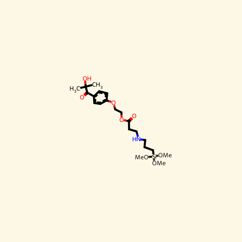 CO[Si](CCCNCCC(=O)OCCOc1ccc(C(=O)C(C)(C)O)cc1)(OC)OC